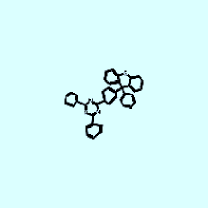 c1ccc(-c2nc(-c3ccccc3)nc(-c3ccc(C4(c5ccccc5)c5ccccc5Sc5ccccc54)cc3)n2)cc1